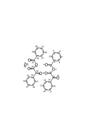 O=C(OC(=O)c1ccccc1)C(=O)c1ccccc1.O=C(OC(=O)c1ccccc1)C(=O)c1ccccc1.[Zn]